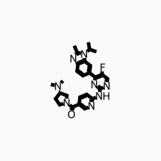 Cc1nc2ccc(-c3nc(Nc4ccc(C(=O)N5CC[C@H](N(C)C)C5)cn4)ncc3F)cc2n1C(C)C